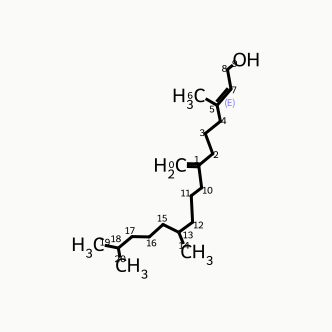 C=C(CCC/C(C)=C/CO)CCCC(C)CCCC(C)C